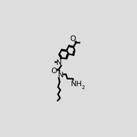 CCCCCCCN(CCCN)C(=O)CN(C)c1ccc2cc(C(C)=O)ccc2c1